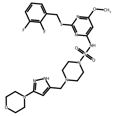 COc1cc(NS(=O)(=O)N2CCN(Cc3cc(N4CCOCC4)n[nH]3)CC2)nc(SCc2cccc(F)c2F)n1